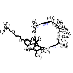 CO[C@H]1/C=C/O[C@@]2(C)Oc3c(C)c(O)c4c(=O)c(c5oc6cc(OCCOCCN(C)C)cc(O)c6nc-5c4c3C2=O)NC(=O)/C(C)=C\C=C\[C@H](C)[C@H](O)[C@@H](C)[C@@H](O)[C@@H](C)[C@H](OC(C)=O)[C@@H]1C